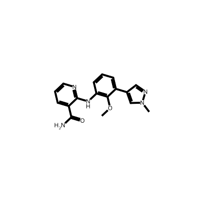 COc1c(Nc2ncccc2C(N)=O)cccc1-c1cnn(C)c1